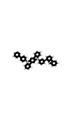 c1ccc(-c2ccc(-n3c4ccccc4c4cc5c(cc43)c3ccccc3n5-c3cccc(-c4cccc5c4sc4ccccc45)c3)cc2)cc1